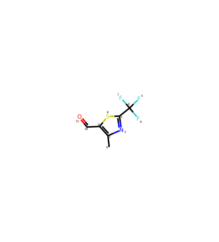 Cc1nc(C(F)(F)F)sc1C=O